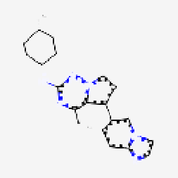 COc1nc(N[C@H]2CC[C@@H](OC)CC2)nn2ccc(-c3ccc4nccn4c3)c12